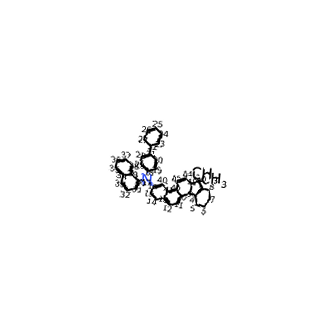 CC1(C)C2=C(CCCC2)C2c3ccc4ccc(N(c5ccc(C6C=CC=CC6)cc5)c5cccc6ccccc56)cc4c3C=CC21